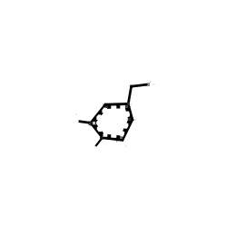 Cl.NCc1ccc(F)c(Br)c1